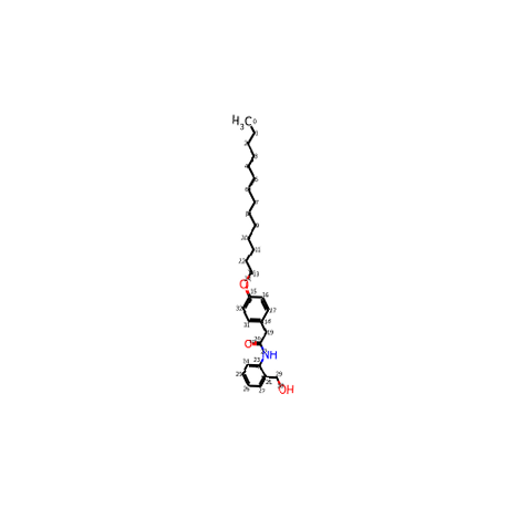 CCCCCCCCCCCCCCOc1ccc(CC(=O)Nc2ccccc2CO)cc1